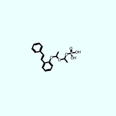 CC(Oc1ccccc1C=Cc1ccccc1)OC(C)OP(=O)(O)O